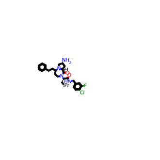 CC(C)C[C@H](C(=O)NCc1ccc(Cl)c(F)c1)N1CCC(CCc2ccccc2)N2C[C@H](N)C[C@H]2C1=O